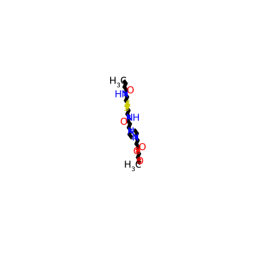 CCCC(=O)NCCSSCCNC(=O)CCN1CCN(CCC(=O)OCCOC)CC1